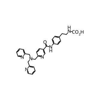 O=C(O)NCCc1ccc(NC(=O)c2ccc(CN(Cc3ccccn3)Cc3ccccn3)nc2)cc1